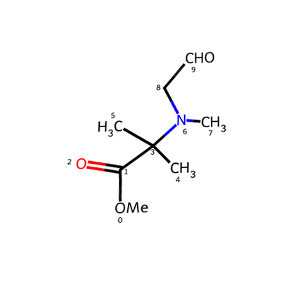 COC(=O)C(C)(C)N(C)CC=O